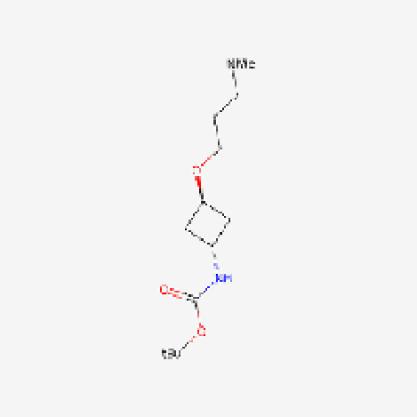 CNCCCO[C@H]1C[C@H](NC(=O)OC(C)(C)C)C1